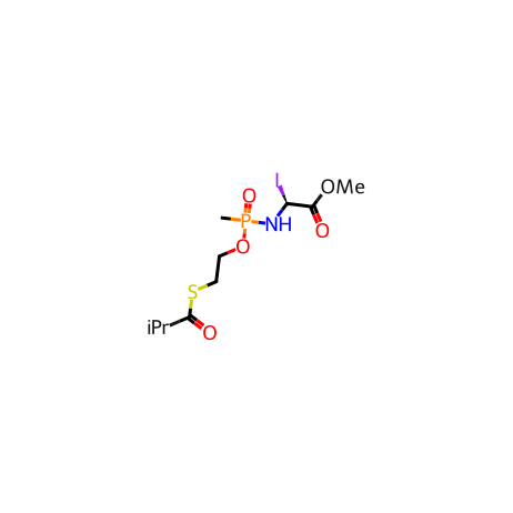 COC(=O)[C@H](I)NP(C)(=O)OCCSC(=O)C(C)C